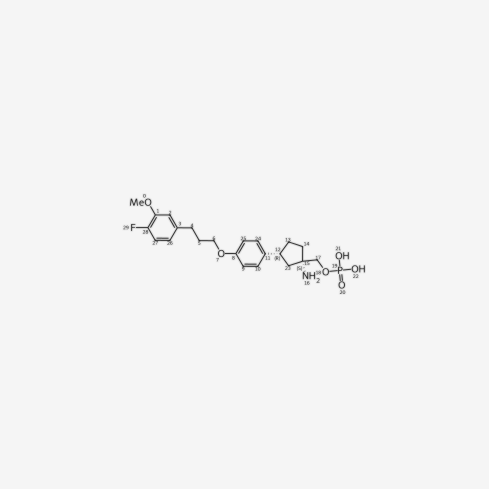 COc1cc(CCCOc2ccc([C@@H]3CC[C@@](N)(COP(=O)(O)O)C3)cc2)ccc1F